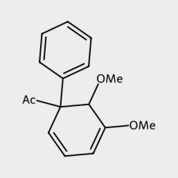 COC1=CC=CC(C(C)=O)(c2ccccc2)C1OC